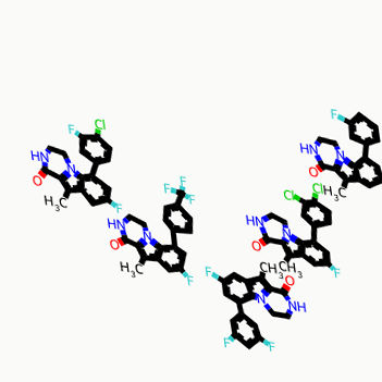 Cc1c2n(c3c(-c4cc(F)cc(F)c4)cc(F)cc13)CCNC2=O.Cc1c2n(c3c(-c4ccc(C(F)(F)F)cc4)cc(F)cc13)CCNC2=O.Cc1c2n(c3c(-c4ccc(Cl)c(Cl)c4)cc(F)cc13)CCNC2=O.Cc1c2n(c3c(-c4ccc(Cl)c(F)c4)cc(F)cc13)CCNC2=O.Cc1c2n(c3c(-c4cccc(F)c4)cc(F)cc13)CCNC2=O